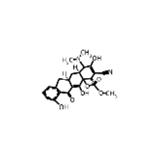 COC(=O)OC12C(=O)C(C#N)=C(O)C(N(C)C)[C@@H]1C[C@@H]1Cc3cccc(O)c3C(=O)C1=C2O